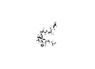 CCCCCc1cc(O)c2c(c1)OC(C)(CCC=C(C)CCC=C(C)CCC=C(C)C)C=C2